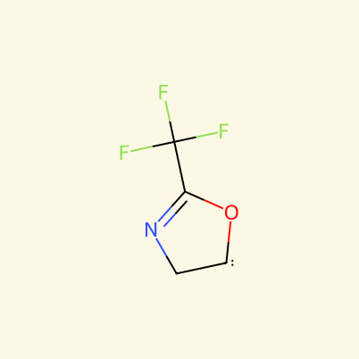 FC(F)(F)C1=NC[C]O1